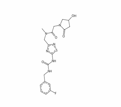 CN(Cc1nsc(NC(=O)NCc2cccc(F)c2)n1)C(=O)CN1CC(O)CC1=O